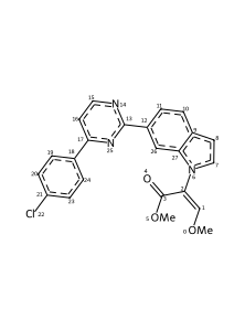 COC=C(C(=O)OC)n1ccc2ccc(-c3nccc(-c4ccc(Cl)cc4)n3)cc21